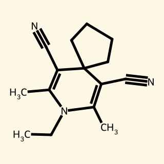 CCN1C(C)=C(C#N)C2(CCCC2)C(C#N)=C1C